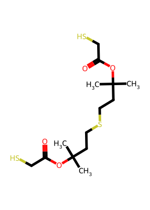 CC(C)(CCSCCC(C)(C)OC(=O)CS)OC(=O)CS